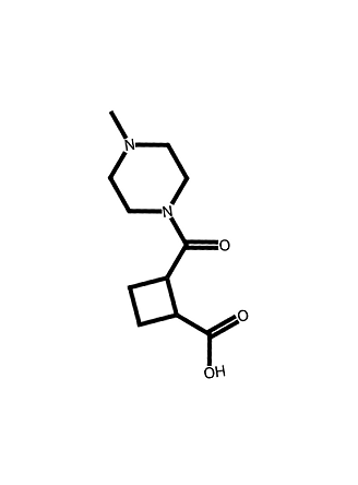 CN1CCN(C(=O)C2CCC2C(=O)O)CC1